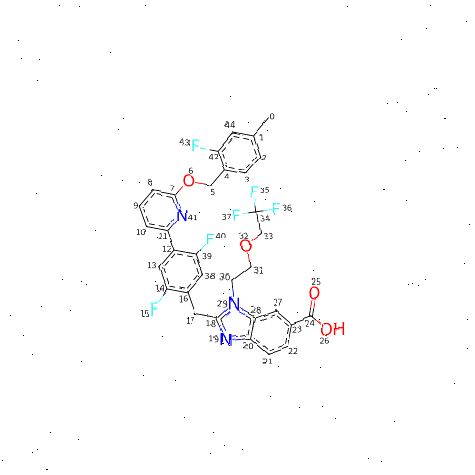 Cc1ccc(COc2cccc(-c3cc(F)c(Cc4nc5ccc(C(=O)O)cc5n4CCOCC(F)(F)F)cc3F)n2)c(F)c1